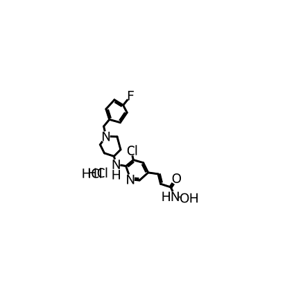 Cl.Cl.O=C(C=Cc1cnc(NC2CCN(Cc3ccc(F)cc3)CC2)c(Cl)c1)NO